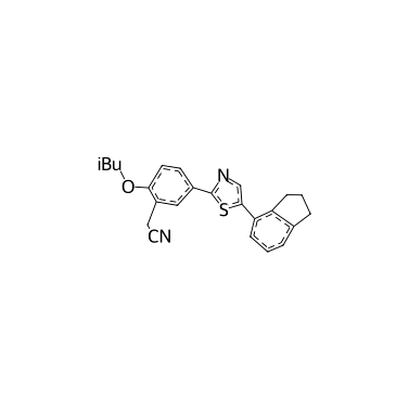 CCC(C)Oc1ccc(-c2ncc(-c3cccc4c3CCC4)s2)cc1CC#N